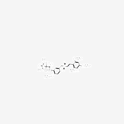 CCC(CC)(C(=O)Nc1cc(CS(=O)(=O)/C=C/c2c(OC)cc(OC)cc2OC)ccc1OC)P(=O)(O)O